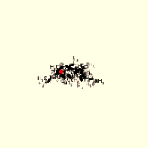 CCCC(COC(=O)C(C)(C)C)(COC(=O)C(C)(C)CC(C)(CC(C)(CC(C)C)C(=O)OC)C(=O)OCCN(C)C)COC(=O)C(C)(CC)CC(C)(CC(C)(CCC)C(=O)OCCN(C)C)C(=O)OC